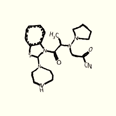 CC(C(=O)N1c2ccccc2SC1N1CCNCC1)N(CC(=O)C#N)N1CCCC1